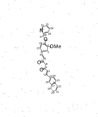 COc1cc(/C=C/C(=O)CC(=O)/C=C/c2ccc3c(c2)CCC=C3)ccc1OCc1ccccn1